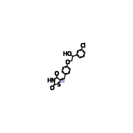 O=C1NC(=O)/C(=C\c2ccc(OCC(O)c3cccc(Cl)c3)cc2)S1